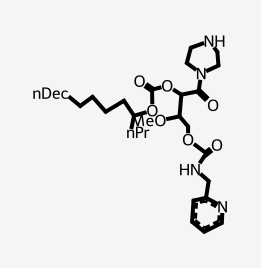 CCCCCCCCCCCCCCC(CCC)OC(=O)OC(C(=O)N1CCNCC1)C(COC(=O)NCc1ccccn1)OC